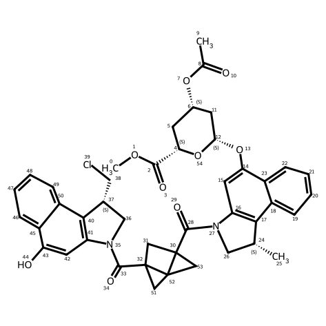 COC(=O)[C@@H]1C[C@H](OC(C)=O)C[C@H](Oc2cc3c(c4ccccc24)[C@H](C)CN3C(=O)C23CC4(C(=O)N5C[C@@H](CCl)c6c5cc(O)c5ccccc65)CC42C3)O1